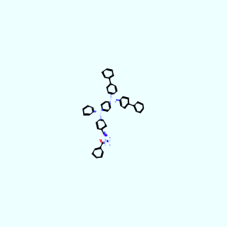 c1ccc(-c2ccc(N(c3ccc(-c4ccccc4)cc3)c3ccc(N(c4ccccc4)c4ccc(-c5nnc(-c6ccccc6)o5)cc4)cc3)cc2)cc1